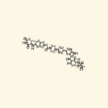 CCN(C)S(=O)(=O)Nc1ccc(F)c(C(=O)c2c[nH]c3ncc(-c4ccc(N5CCN(C(=O)CN6Cc7ccc(NC8CCC(=O)NC8=O)cc7C6)CC5)nc4)cc23)c1F